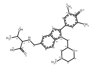 Cc1cc(-c2nc3cc(CNC(C(=O)O)C(C)O)ccc3n2CC2CN(C)CCO2)cn(C)c1=O